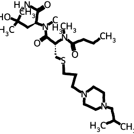 CCCC(=O)N(C)[C@H](CSCCCN1CCN(CC(C)C)CC1)C(=O)N(C)[C@@H](CC(C)(C)O)C(N)=O